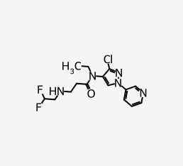 CCN(C(=O)CCNCC(F)F)c1cn(-c2cccnc2)nc1Cl